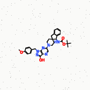 COc1ccc(Cn2nc(O)c3ncc(N4CCC5(CC4)Cc4ccccc4[C@H]5NC(=O)OC(C)(C)C)nc32)cc1